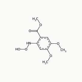 COC(=O)c1cc(OC)c(OC)cc1NOO